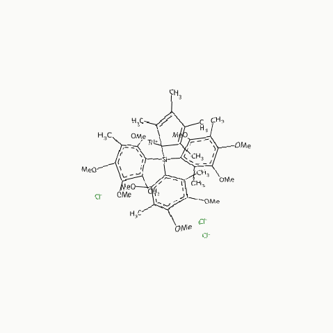 COc1c(C)c(OC)c([Si](c2c(C)c(OC)c(OC)c(C)c2OC)(c2c(C)c(OC)c(OC)c(C)c2OC)[C]2([Ti+3])C(C)=C(C)C(C)=C2C)c(C)c1OC.[Cl-].[Cl-].[Cl-]